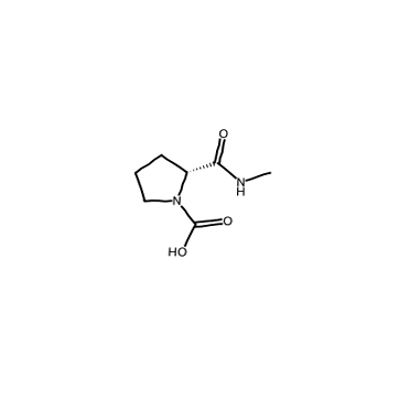 CNC(=O)[C@H]1CCCN1C(=O)O